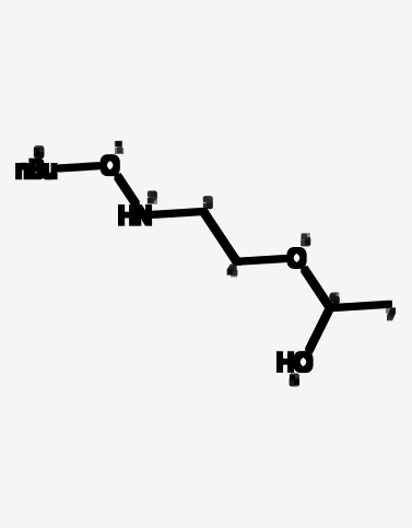 CCCCONCCOC(C)O